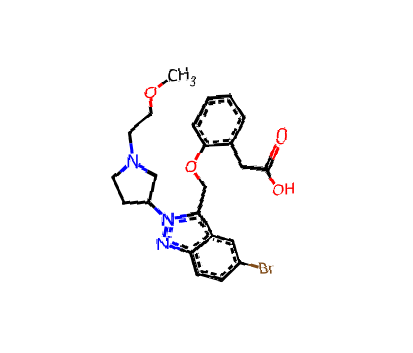 COCCN1CCC(n2nc3ccc(Br)cc3c2COc2ccccc2CC(=O)O)C1